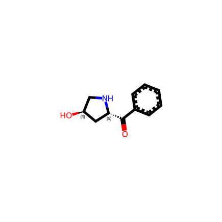 O=C(c1ccccc1)[C@@H]1C[C@@H](O)CN1